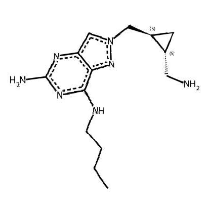 CCCCNc1nc(N)nc2cn(C[C@H]3C[C@@H]3CN)nc12